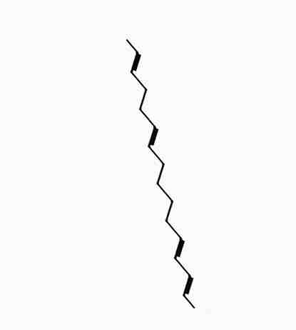 CC=CC=CCCCCC=CCCC=CC